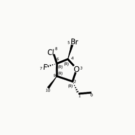 CC[C@H]1O[C@H](Br)[C@](F)(Cl)[C@@H]1C